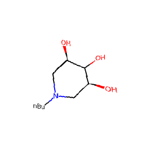 CCCCN1C[C@@H](O)C(O)[C@@H](O)C1